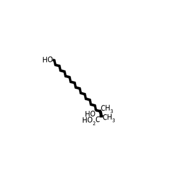 CC(C(=O)O)=C(C)C(O)CCCCCCCCCCCCCCCCCO